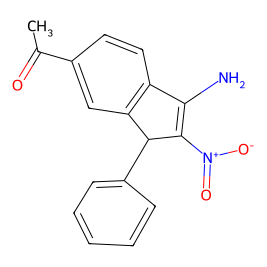 CC(=O)c1ccc2c(c1)C(c1ccccc1)C([N+](=O)[O-])=C2N